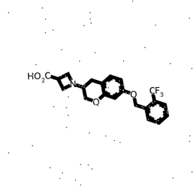 O=C(O)C1CN(C2COc3cc(OCc4ccccc4C(F)(F)F)ccc3C2)C1